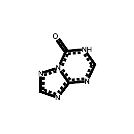 O=c1[nH]cnc2ncnn12